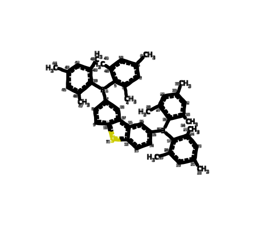 Cc1cc(C)c(B(c2ccc3sc4ccc(B(c5c(C)cc(C)cc5C)c5c(C)cc(C)cc5C)cc4c3c2)c2c(C)cc(C)cc2C)c(C)c1